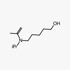 C=C(C)N(CCCCCO)C(C)C